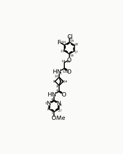 COc1cnc(NC(=O)C23CC(NC(=O)COc4ccc(Cl)c(F)c4)(C2)C3)nc1